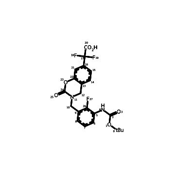 CC(C)(C)OC(=O)Nc1cccc(CN2Cc3ccc(C(F)(F)C(=O)O)cc3OC2=O)c1F